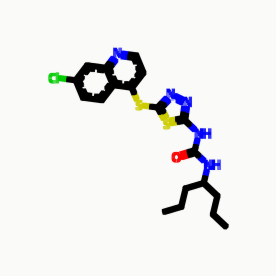 CCCC(CCC)NC(=O)Nc1nnc(Sc2ccnc3cc(Cl)ccc23)s1